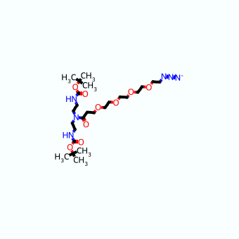 CC(C)(C)OC(=O)NCCN(CCNC(=O)OC(C)(C)C)C(=O)CCOCCOCCOCCOCCN=[N+]=[N-]